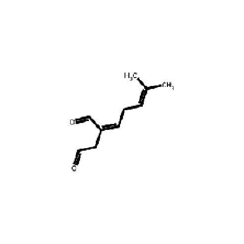 CC(C)=CCC=C(C=O)CC=O